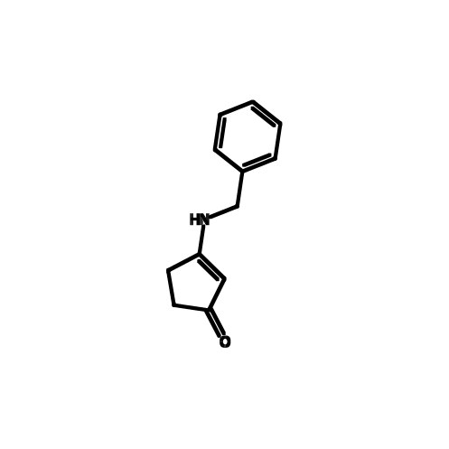 O=C1C=C(NCc2ccccc2)CC1